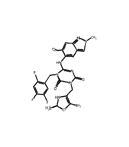 BC1=C(Cn2c(=O)nc(Nc3cc4cn(C)nc4cc3Cl)n(Cc3cc(F)c(F)cc3F)c2=O)NC(B)O1